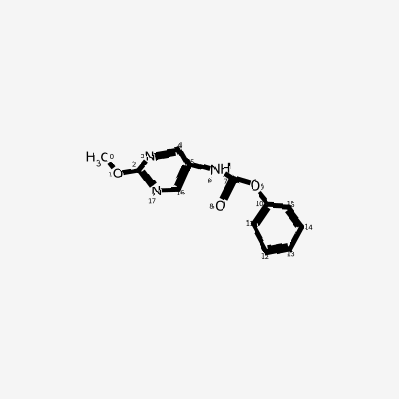 COc1ncc(NC(=O)Oc2ccccc2)cn1